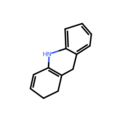 C1=CC2=C(CC1)Cc1ccccc1N2